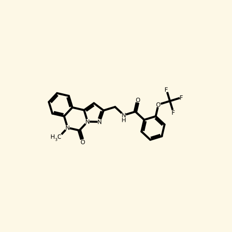 Cn1c(=O)n2nc(CNC(=O)c3ccccc3OC(F)(F)F)cc2c2ccccc21